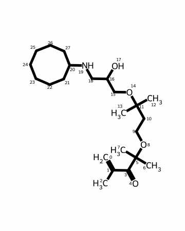 C=C(C)C(=O)C(C)(C)OCCC(C)(C)OCC(O)CNC1CCCCCCC1